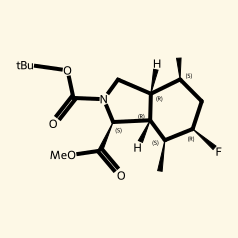 COC(=O)[C@@H]1[C@H]2[C@H](C)[C@H](F)C[C@H](C)[C@H]2CN1C(=O)OC(C)(C)C